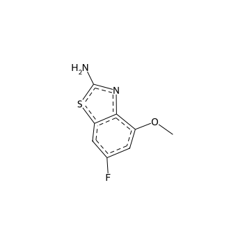 COc1cc(F)cc2sc(N)nc12